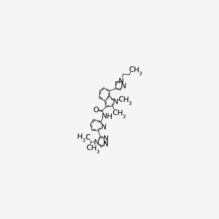 CCCn1cc(-c2cccc3c(C(=O)Nc4cccc(-c5nncn5C(C)C)n4)c(C)n(C)c23)cn1